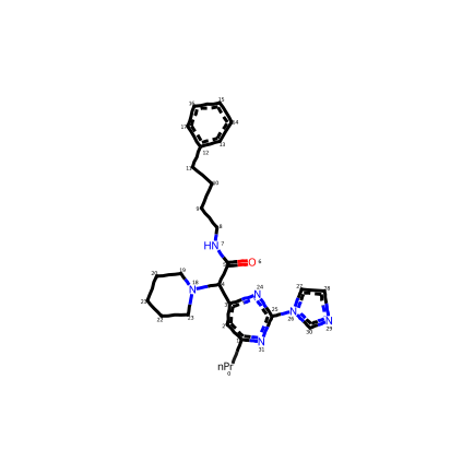 CCCc1cc(C(C(=O)NCCCCc2ccccc2)N2CCCCC2)nc(-n2ccnc2)n1